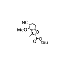 COc1c(C#N)ccc2oc(C(=O)OC(C)(C)C)c(C)c12